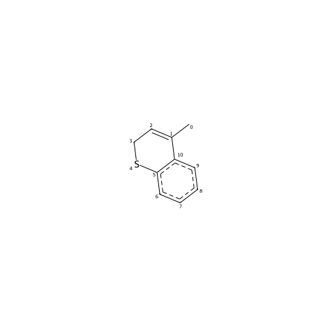 CC1=CCSc2ccccc21